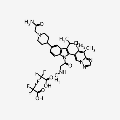 CNCC(=O)n1c(-c2cn3ncnc3c(C)c2C)c(C(C)C)c2cc(C3CCN(CC(N)=O)CC3)ccc21.O=C(O)C(F)(F)F.O=C(O)C(F)(F)F